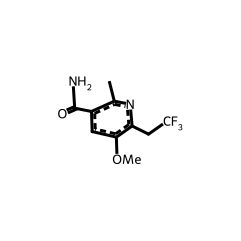 COc1cc(C(N)=O)c(C)nc1CC(F)(F)F